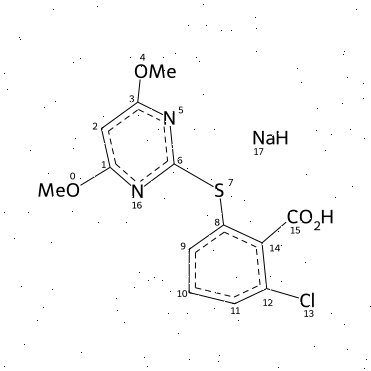 COc1cc(OC)nc(Sc2cccc(Cl)c2C(=O)O)n1.[NaH]